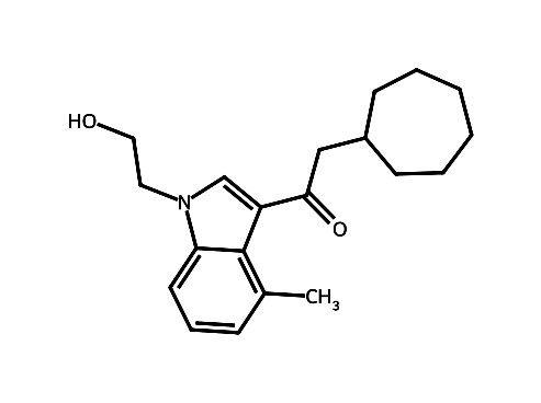 Cc1cccc2c1c(C(=O)CC1CCCCCC1)cn2CCO